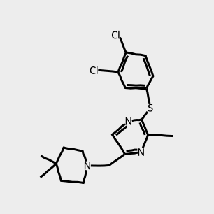 Cc1nc(CN2CCC(C)(C)CC2)cnc1Sc1ccc(Cl)c(Cl)c1